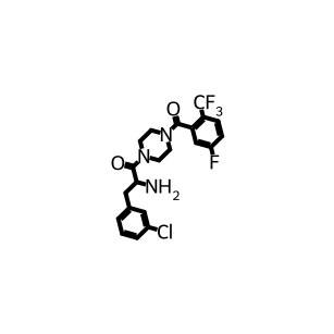 NC(Cc1cccc(Cl)c1)C(=O)N1CCN(C(=O)c2cc(F)ccc2C(F)(F)F)CC1